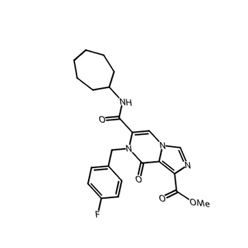 COC(=O)c1ncn2cc(C(=O)NC3CCCCCC3)n(Cc3ccc(F)cc3)c(=O)c12